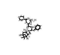 CC1(C)[C@@H]2C[C@H]3OB([C@H](Cc4ccccc4)NC(=O)[C@@H](CC(=O)N4CCOCC4)NC(=O)O)O[C@@]3(C)[C@H]1C2